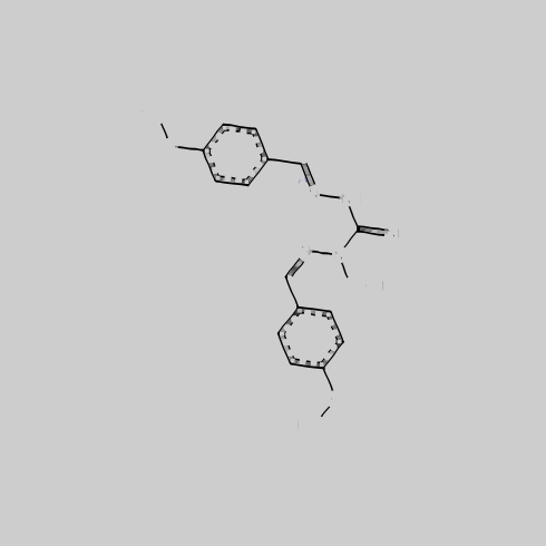 N=C(N/N=C/c1ccc(OC(F)(F)F)cc1)N(/N=C\c1ccc(OC(F)(F)F)cc1)C(=O)O